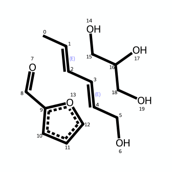 C/C=C/C=C/CO.O=Cc1ccco1.OCC(O)CO